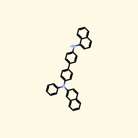 c1ccc(N(c2ccc(-c3ccc(Nc4cccc5ccccc45)cc3)cc2)c2ccc3ccccc3c2)cc1